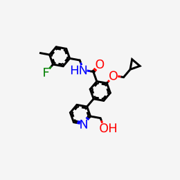 Cc1ccc(CNC(=O)c2cc(-c3cccnc3CO)ccc2OCC2CC2)cc1F